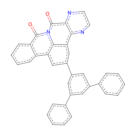 O=c1c2ccccc2c2cc(-c3cc(-c4ccccc4)cc(-c4ccccc4)c3)cc3c4nccnc4c(=O)n1c23